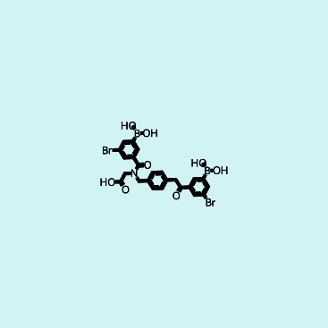 O=C(O)CN(Cc1ccc(CC(=O)c2cc(Br)cc(B(O)O)c2)cc1)C(=O)c1cc(Br)cc(B(O)O)c1